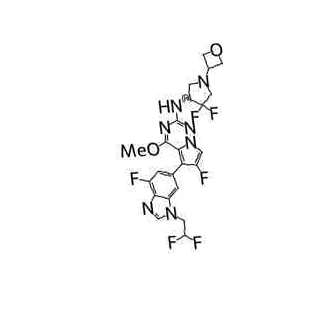 COc1nc(N[C@@H]2CN(C3COC3)CC2(F)F)nn2cc(F)c(-c3cc(F)c4ncn(CC(F)F)c4c3)c12